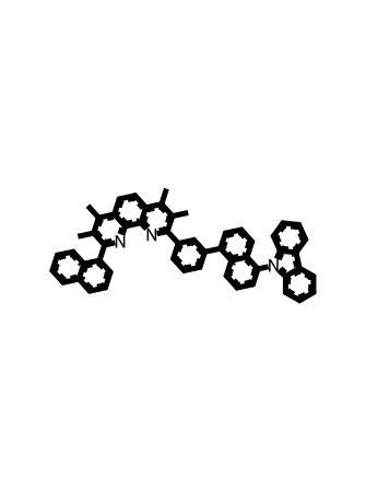 Cc1c(-c2cccc(-c3cccc4c(-n5c6ccccc6c6ccccc65)cccc34)c2)nc2c(ccc3c(C)c(C)c(-c4cccc5ccccc45)nc32)c1C